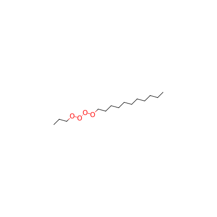 CCCCCCCCCCCOOOOCCC